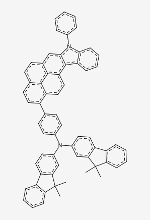 CC1(C)c2ccccc2-c2ccc(N(c3ccc(-c4ccc5ccc6cc7c(c8ccc4c5c68)c4ccccc4n7-c4ccccc4)cc3)c3ccc4c(c3)C(C)(C)c3ccccc3-4)cc21